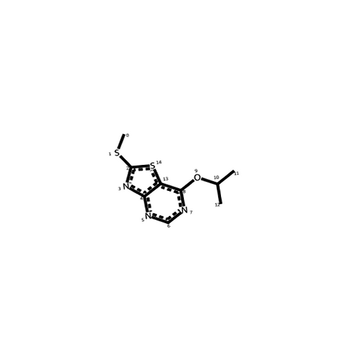 CSc1nc2ncnc(OC(C)C)c2s1